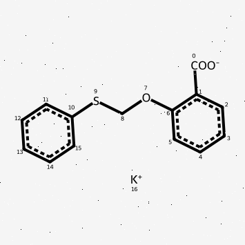 O=C([O-])c1ccccc1OCSc1ccccc1.[K+]